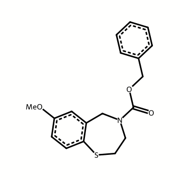 COc1ccc2c(c1)CN(C(=O)OCc1ccccc1)CCS2